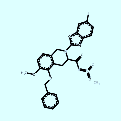 C.COc1ccc2c(c1OCc1ccccc1)CC(C(=O)N=S(=O)=O)N(c1nc3ccc(F)cc3o1)C2